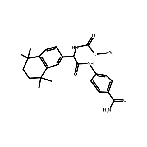 CC(C)(C)OC(=O)NC(C(=O)Nc1ccc(C(N)=O)cc1)c1ccc2c(c1)C(C)(C)CCC2(C)C